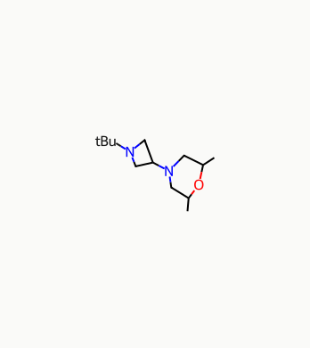 CC1CN(C2CN(C(C)(C)C)C2)CC(C)O1